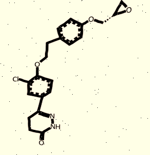 O=C1CCC(c2ccc(OCCc3ccc(OC[C@@H]4CO4)cc3)c(Cl)c2)=NN1